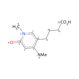 CNc1cc(=O)n(C)cc1CCCC(=O)O